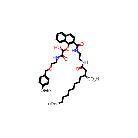 CCCCCCCCCCCCCCCCCCC(CC(=O)NCCNC(=O)c1ccc2ccccc2c1OC(O)C(=O)NCCOCc1ccc(OC)cc1)C(=O)O